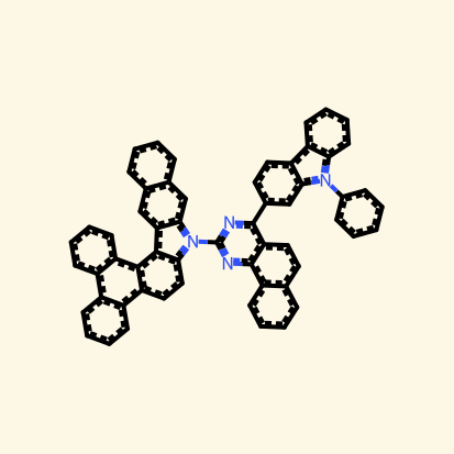 c1ccc(-n2c3ccccc3c3ccc(-c4nc(-n5c6cc7ccccc7cc6c6c7c8ccccc8c8ccccc8c7ccc65)nc5c4ccc4ccccc45)cc32)cc1